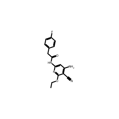 CCOc1nc(NC(=O)Cc2ccc(F)cc2)cc(N)c1C#N